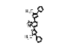 Cc1sc(-c2ccc(-c3cc(-c4ccccc4)c(C)s3)c3nsnc23)cc1-c1ccccc1